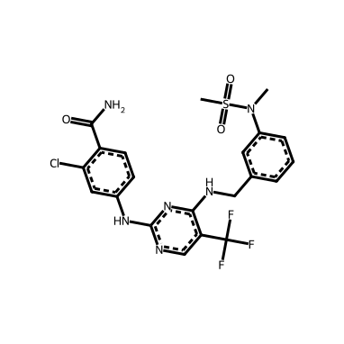 CN(c1cccc(CNc2nc(Nc3ccc(C(N)=O)c(Cl)c3)ncc2C(F)(F)F)c1)S(C)(=O)=O